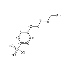 O=S(=O)(Cl)c1ccc(OCCCCF)cc1